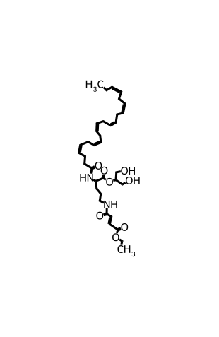 CC/C=C\C/C=C\C/C=C\C/C=C\C/C=C\C/C=C\CCC(=O)NC(CCCNC(=O)/C=C/C(=O)OCC)C(=O)OC(CO)CO